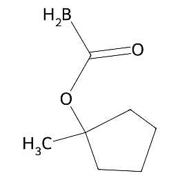 BC(=O)OC1(C)CCCC1